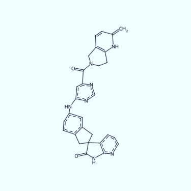 C=C1C=CC2=C(CCN(C(=O)c3cc(Nc4ccc5c(c4)CC4(C5)C(=O)Nc5ncccc54)ncn3)C2)N1